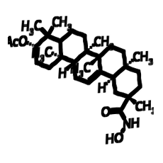 CC(=O)O[C@H]1CC[C@@]2(C)C(CC[C@]3(C)[C@@H]2CC=C2[C@@H]4C[C@@](C)(C(=O)NO)CC[C@]4(C)CC[C@]23C)C1(C)C